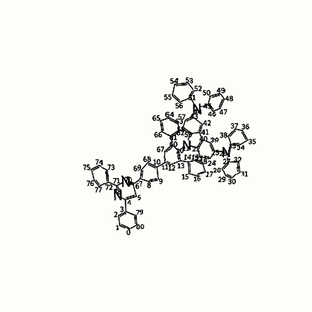 c1ccc(-c2cc(-c3ccc(-c4cc(-c5ccccc5)c(-n5c6ccc(N(c7ccccc7)c7ccccc7)cc6c6cc(N(c7ccccc7)c7ccccc7)ccc65)c(-c5ccccc5)c4)cc3)nc(-c3ccccc3)n2)cc1